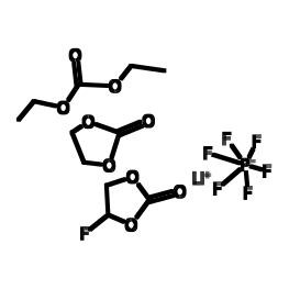 CCOC(=O)OCC.F[P-](F)(F)(F)(F)F.O=C1OCC(F)O1.O=C1OCCO1.[Li+]